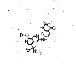 C[C@@H]1c2nc(Nc3cc4c(C(C)(N)C5CC5)cnc(OC5CC5)c4cn3)ccc2C(=O)O[C@@H]1C